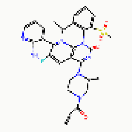 C=CC(=O)N1CCN(c2nc(=O)n(-c3c(C(C)C)cccc3S(C)(=O)=O)c3nc(-c4cccnc4N)c(F)cc23)[C@@H](C)C1